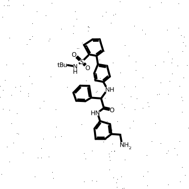 CC(C)(C)NS(=O)(=O)c1ccccc1-c1ccc(NC(C(=O)Nc2cccc(CN)c2)c2ccccc2)cc1